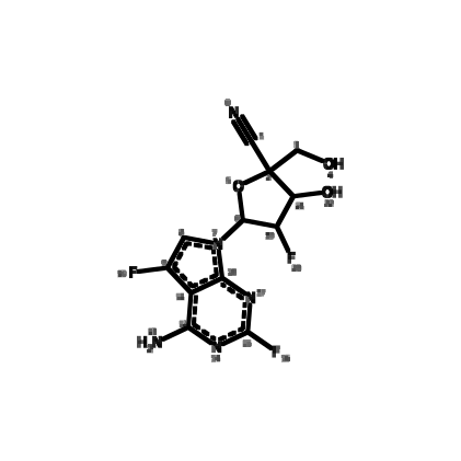 N#CC1(CO)OC(n2cc(F)c3c(N)nc(F)nc32)C(F)C1O